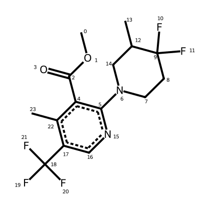 COC(=O)c1c(N2CCC(F)(F)C(C)C2)ncc(C(F)(F)F)c1C